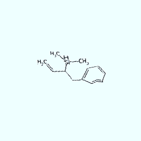 C=CC(Cc1ccccc1)[SiH](C)C